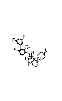 COc1c(CC(=O)N[C@@H]2[C@@H](N3CCN(C(C)C)CC3)CCCC2(F)F)ccc(F)c1-c1cc(F)cc(F)c1